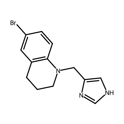 Brc1ccc2c(c1)CCCN2Cc1c[nH]cn1